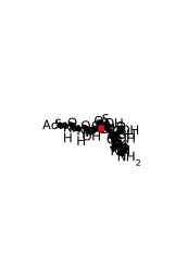 CC(=O)SCCNC(=O)CCNC(=O)[C@H](O)C(C)(C)COP(=O)(O)OP(=O)(O)OC[C@H]1O[C@@H](n2cnc3c(N)ncnc32)[C@H](O)[C@@H]1OP(=O)(O)O.[S]